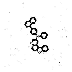 c1ccc(N(c2ccc(-c3cccc4ccccc34)cc2)c2cnc3ccc4oc5ccccc5c4c3c2)cc1